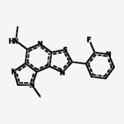 CNc1nc2sc(-c3cccnc3F)nc2c2c1ncn2C